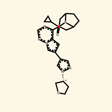 O=C(C1CC1)N1C2CCC1CN(c1ncnn3cc(-c4cnn([C@@H]5CCOC5)c4)cc13)C2